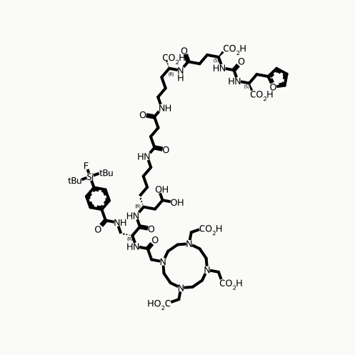 CC(C)(C)[Si](F)(c1ccc(C(=O)NC[C@@H](NC(=O)CN2CCN(CC(=O)O)CCN(CC(=O)O)CCN(CC(=O)O)CC2)C(=O)N[C@H](CCCCNC(=O)CCC(=O)NCCC[C@@H](NC(=O)CC[C@H](NC(=O)N[C@@H](Cc2ccco2)C(=O)O)C(=O)O)C(=O)O)CC(O)O)cc1)C(C)(C)C